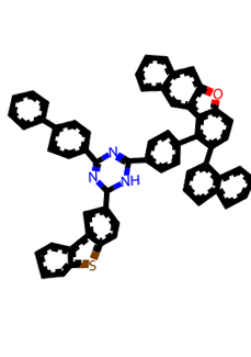 c1ccc(-c2ccc(C3=NC(c4ccc5sc6ccccc6c5c4)NC(c4ccc(-c5c(-c6cccc7ccccc67)ccc6oc7cc8ccccc8cc7c56)cc4)=N3)cc2)cc1